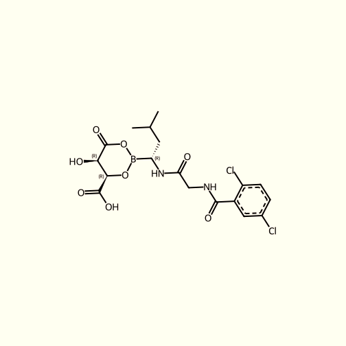 CC(C)C[C@H](NC(=O)CNC(=O)c1cc(Cl)ccc1Cl)B1OC(=O)[C@H](O)[C@H](C(=O)O)O1